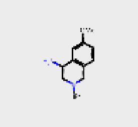 COc1ccc2c(c1)C(N)CN(C(C)C)C2